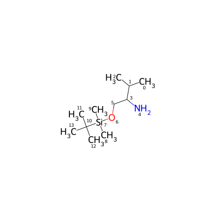 CC(C)C(N)CO[Si](C)(C)C(C)(C)C